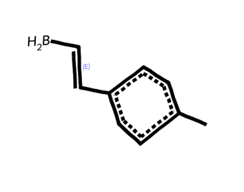 B/C=C/c1ccc(C)cc1